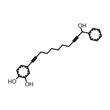 Oc1ccc(C#CCCCCCCC#CC(O)c2ccccc2)cc1O